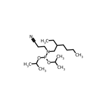 CCCCC(CC)CN(CCC#N)P(OC(C)C)OC(C)C